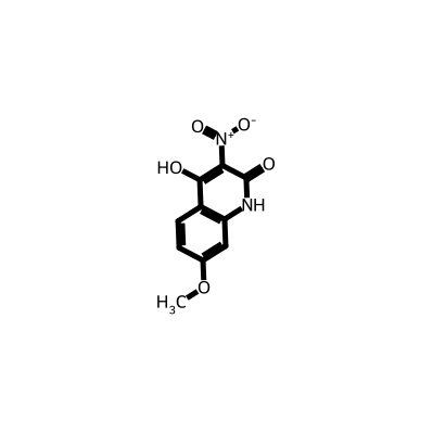 COc1ccc2c(O)c([N+](=O)[O-])c(=O)[nH]c2c1